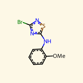 COc1ccccc1Nc1nc(Br)ns1